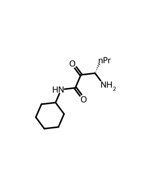 CCC[C@H](N)C(=O)C(=O)NC1CCCCC1